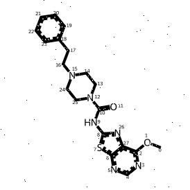 COc1ncnc2sc(NC(=O)N3CCN(CCc4ccccc4)CC3)nc12